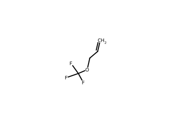 C=CCOC(F)(F)F